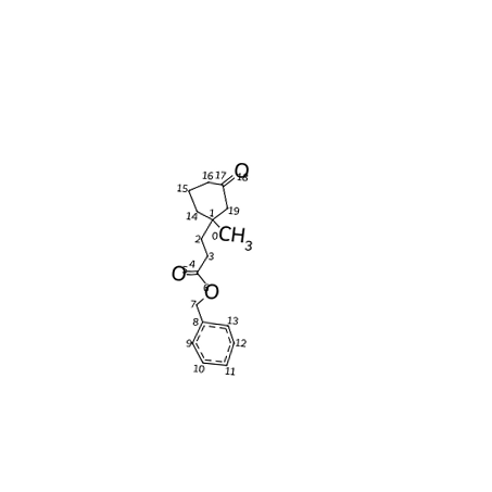 CC1(CCC(=O)OCc2ccccc2)CCCC(=O)C1